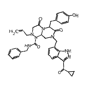 C=CCN1CC(=O)N2C(Cc3ccc(O)cc3)C(=O)N(Cc3cccc4c(C(=O)C5CC5)n[nH]c34)CC2N1C(=O)NCc1ccccc1